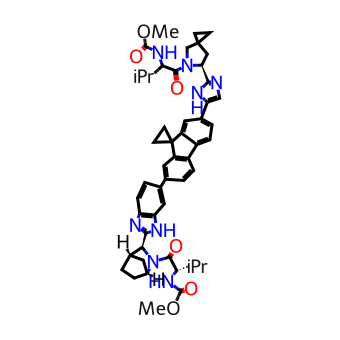 COC(=O)NC(C(=O)N1CC2(CC2)C[C@H]1c1ncc(-c2ccc3c(c2)C2(CC2)c2cc(-c4ccc5nc([C@@H]6[C@H]7CC[C@H](C7)N6C(=O)[C@@H](NC(=O)OC)C(C)C)[nH]c5c4)ccc2-3)[nH]1)C(C)C